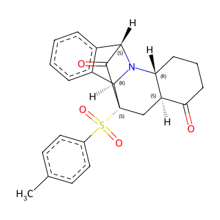 Cc1ccc(S(=O)(=O)[C@]23C[C@@H]4C(=O)CCC[C@H]4N4[C@H](C2=O)c2ccccc2[C@@H]43)cc1